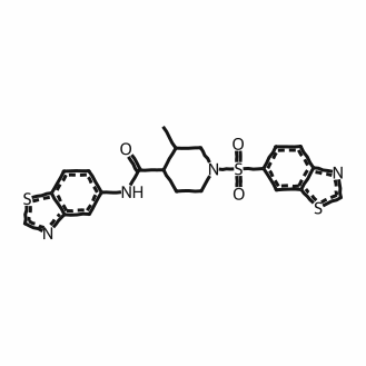 CC1CN(S(=O)(=O)c2ccc3ncsc3c2)CCC1C(=O)Nc1ccc2scnc2c1